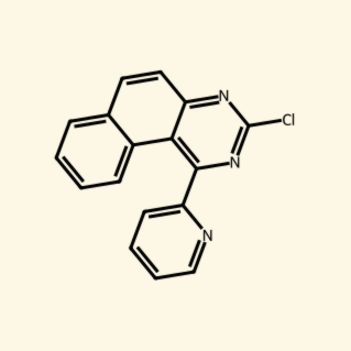 Clc1nc(-c2ccccn2)c2c(ccc3ccccc32)n1